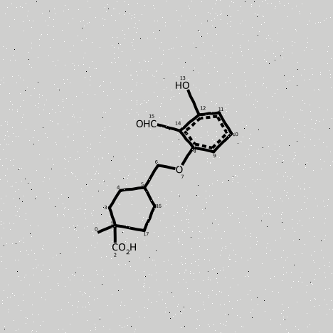 CC1(C(=O)O)CCC(COc2cccc(O)c2C=O)CC1